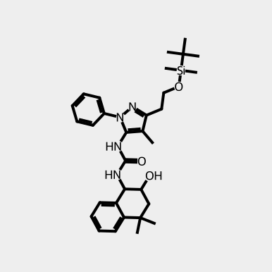 Cc1c(CCO[Si](C)(C)C(C)(C)C)nn(-c2ccccc2)c1NC(=O)NC1c2ccccc2C(C)(C)CC1O